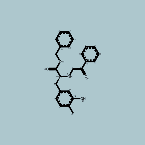 Cc1ccc(C[C@H](NCC(=O)c2ccccc2)C(=O)OCc2ccccc2)cc1O